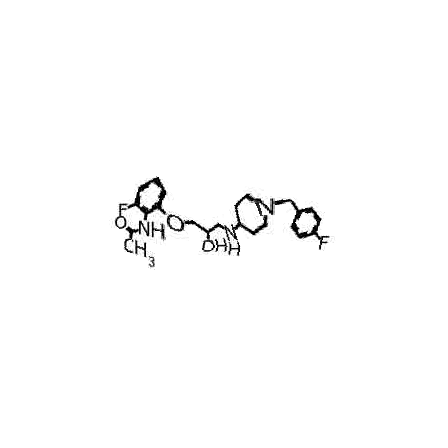 CC(=O)Nc1c(F)cccc1OCC(O)CNC1CCN(Cc2ccc(F)cc2)CC1